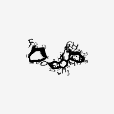 CN1C[C@H]2[C@@H]3C[C@H](Oc4ccc(F)cc4)C[C@@]3(C)CC[C@@H]2[C@@]2(C)CCCC=C12